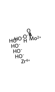 [OH-].[OH-].[OH-].[OH-].[OH-].[OH-].[O]=[Mo+2].[Zr+4]